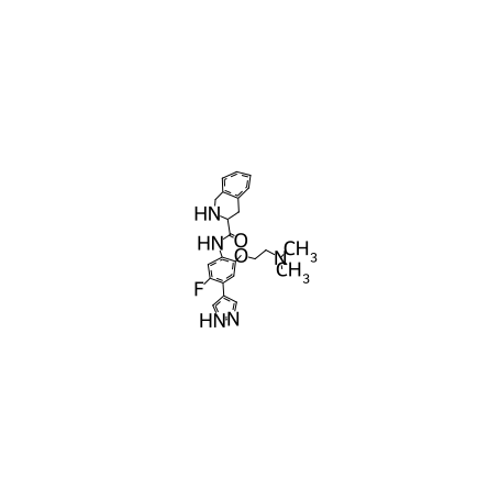 CN(C)CCOc1cc(-c2cn[nH]c2)c(F)cc1NC(=O)C1Cc2ccccc2CN1